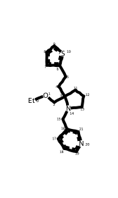 CCOCC1(CCc2cccs2)CCCN1Cc1cccnc1